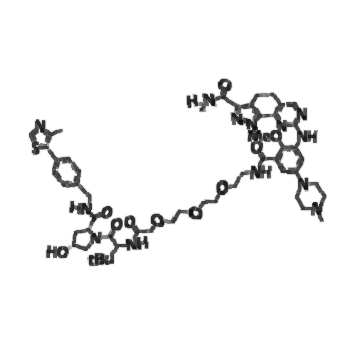 COc1c(Nc2ncc3c(n2)-c2c(c(C(N)=O)nn2C)CC3)cc(N2CCN(C)CC2)cc1C(=O)NCCOCCOCCOCC(=O)NC(C(=O)N1C[C@H](O)C[C@H]1C(=O)NCc1ccc(-c2scnc2C)cc1)C(C)(C)C